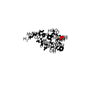 CCC[C@H](NC(=O)[C@@H]1CCCN1C(=O)[C@@H](NC(=O)[C@H](N)CC(N)=O)[C@@H](C)CC)C(=O)N[C@@H](CC(C)C)C(=O)N[C@@H](Cc1ccc(O)cc1)C(=O)N[C@H](CO)C(=O)N[C@@H](Cc1ccccc1)C(=O)N[C@@H](C)C(=O)N[C@H](CO)C(=O)N[C@@H](Cc1c[nH]cn1)C(=O)N1CCC[C@H]1C(=O)O